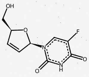 O=c1[nH]c(=O)n([C@H]2C=C[C@@H](CO)O2)cc1F